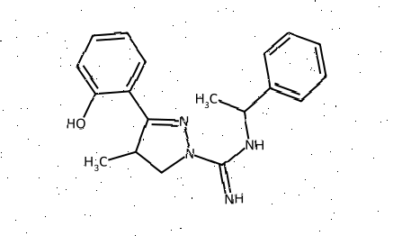 CC1CN(C(=N)NC(C)c2ccccc2)N=C1c1ccccc1O